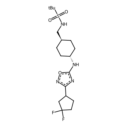 CC(C)(C)S(=O)(=O)NC[C@H]1CC[C@H](Nc2nc(C3CCC(F)(F)C3)no2)CC1